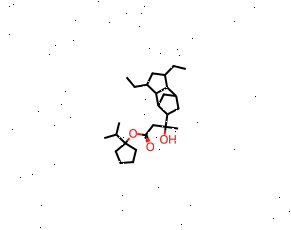 CCC1CC(CC)C2C3CC(CC3C(C)(O)CC(=O)OC3(C(C)C)CCCC3)C12